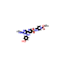 CCCCNc1ncc(-c2ccc(S(=O)(=O)NCC3CCN(C(=O)OC(C)(C)C)CC3)cn2)c(NC2CCC(O)CC2)n1